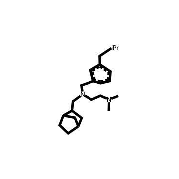 CC(C)Cc1cccc(CN(CCN(C)C)CC2CC3CCC2C3)c1